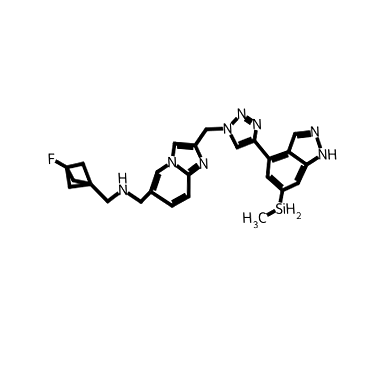 C[SiH2]c1cc(-c2cn(Cc3cn4cc(CNCC56CC(F)(C5)C6)ccc4n3)nn2)c2cn[nH]c2c1